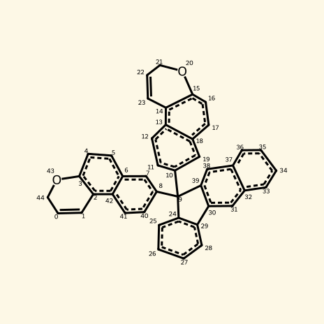 C1=Cc2c(ccc3cc(C4(c5ccc6c7c(ccc6c5)OCC=C7)c5ccccc5-c5cc6ccccc6cc54)ccc23)OC1